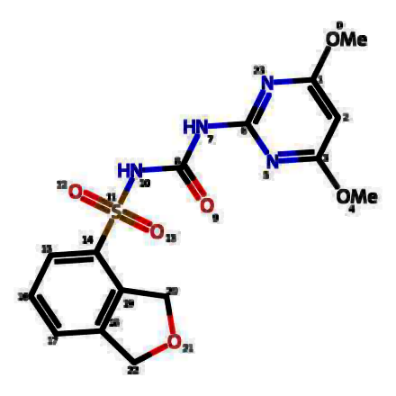 COc1cc(OC)nc(NC(=O)NS(=O)(=O)c2cccc3c2COC3)n1